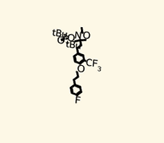 CC1=NC(CCc2ccc(OCCCc3ccc(F)cc3)c(C(F)(F)F)c2)(COP(=O)(C(C)(C)C)C(C)(C)C)CO1